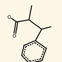 CC(C([O])=O)C(C)c1ccccc1